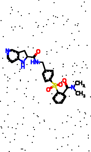 CN(C)C(=O)c1ccccc1S(=O)(=O)c1ccc(CNC(=O)C2Cc3cnccc3N2)cc1